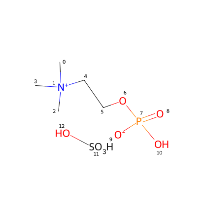 C[N+](C)(C)CCOP(=O)([O-])O.O=S(=O)(O)O